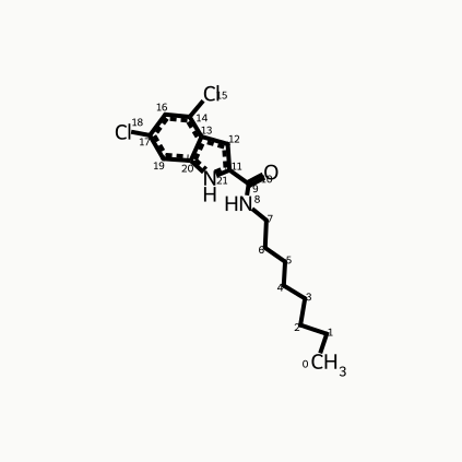 CCCCCCCCNC(=O)c1cc2c(Cl)cc(Cl)cc2[nH]1